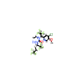 CCN(C(=O)N[C@@H](CCC(F)(F)F)C(F)(F)F)[C@@H](c1cc(Cl)c(OC)cn1)C(F)(F)F